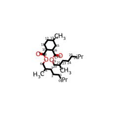 CC(C)CCCC(C)COC(=O)C1CCC(C)CC1C(=O)OCC(C)CCCC(C)C